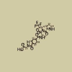 CC(C(=O)C(F)(F)F)N(C(=O)[C@H](C)NC(=O)c1ccc(C(=O)NCC(=O)O)cc1)C(=O)[C@@H]1CCCN1